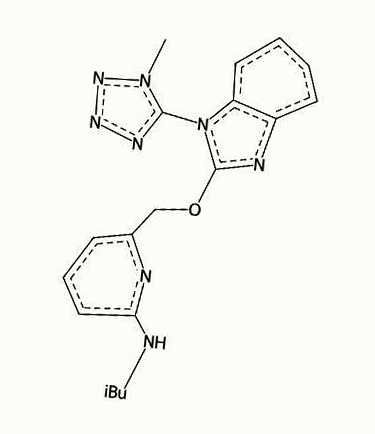 CCC(C)Nc1cccc(COc2nc3ccccc3n2-c2nnnn2C)n1